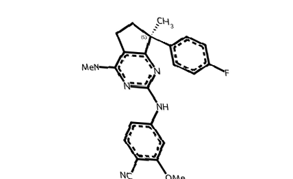 CNc1nc(Nc2ccc(C#N)c(OC)c2)nc2c1CC[C@@]2(C)c1ccc(F)cc1